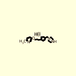 Cc1ccc(OCCCc2ccc(CN3CCNCC3)cc2)cn1.Cl.Cl